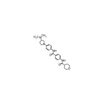 CN(C)C1CCN(c2ccc(NC(=O)c3ccc(NC(=O)C4CCOCC4)cc3)cc2)C1